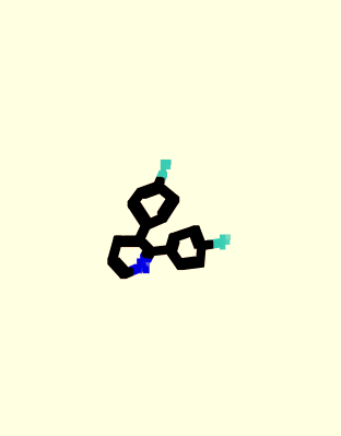 Fc1ccc(-c2cccnc2-c2ccc(F)cc2)cc1